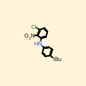 CC(C)(C)c1ccc(Nc2cccc(Cl)c2[N+](=O)[O-])cc1